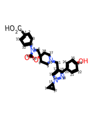 O=C(O)c1ccc(N2CC3(CCN(Cc4cn(C5CC5)nc4-c4ccc(O)cc4)CC3)OC2=O)cc1